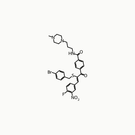 CN1CCN(CCCNC(=O)c2ccc(C(=O)C(=Cc3ccc(F)c([N+](=O)[O-])c3)SCc3ccc(Br)cc3)cc2)CC1